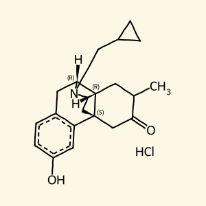 CC1C[C@H]2[C@H]3Cc4ccc(O)cc4[C@@]2(CCN3CC2CC2)CC1=O.Cl